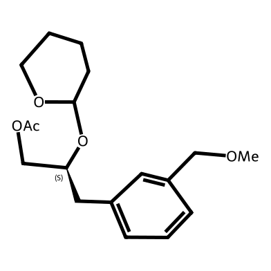 COCc1cccc(C[C@@H](COC(C)=O)OC2CCCCO2)c1